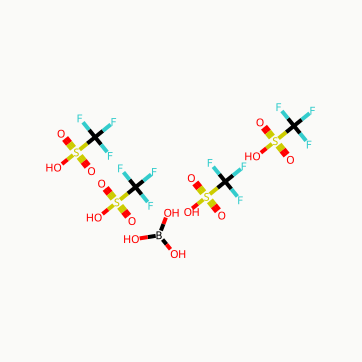 O=S(=O)(O)C(F)(F)F.O=S(=O)(O)C(F)(F)F.O=S(=O)(O)C(F)(F)F.O=S(=O)(O)C(F)(F)F.OB(O)O